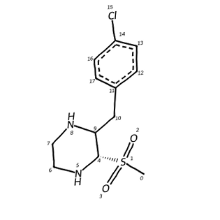 CS(=O)(=O)[C@@H]1NCCNC1Cc1ccc(Cl)cc1